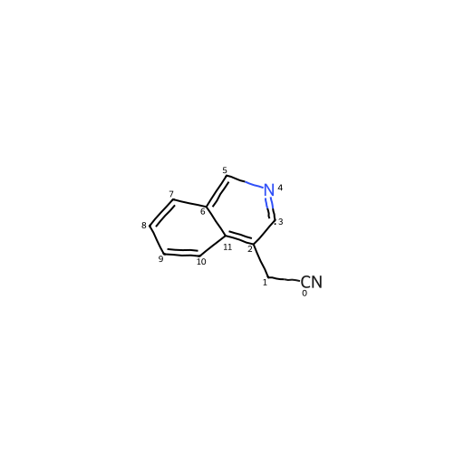 N#CCc1[c]ncc2ccccc12